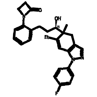 CCC1=Cc2c(cnn2-c2ccc(F)cc2)CC1(C)[C@@H](O)CCc1ccccc1N1CCC1=O